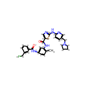 Cc1ccc(NC(=O)c2cccc(CF)c2)cc1NC(=O)c1cnc(Nc2ccc(CN3CCCC3)cn2)s1